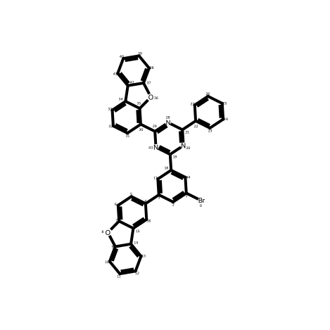 Brc1cc(-c2ccc3oc4ccccc4c3c2)cc(-c2nc(-c3ccccc3)nc(-c3cccc4c3oc3ccccc34)n2)c1